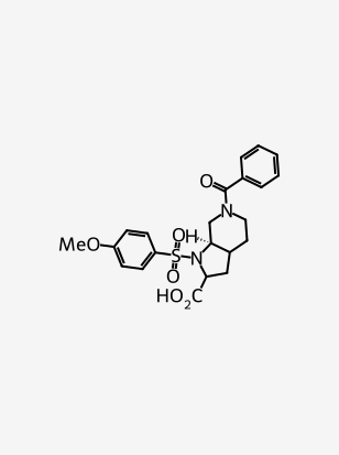 COc1ccc(S(=O)(=O)N2C(C(=O)O)CC3CCN(C(=O)c4ccccc4)C[C@@H]32)cc1